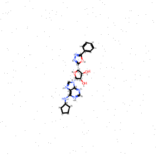 O[C@@H]1[C@H](O)[C@@H](c2nnc(-c3ccccc3)o2)O[C@H]1n1cnc2c(NC3CCCC3)ncnc21